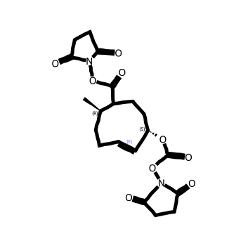 C[C@@H]1CC/C=C/[C@@H](OC(=O)ON2C(=O)CCC2=O)CCC1C(=O)ON1C(=O)CCC1=O